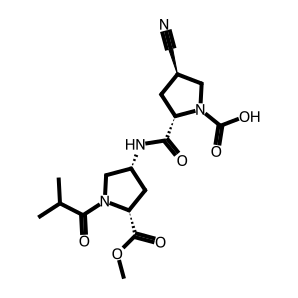 COC(=O)[C@H]1C[C@@H](NC(=O)[C@@H]2C[C@@H](C#N)CN2C(=O)O)CN1C(=O)C(C)C